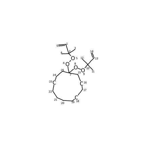 C=CC(C)(C)OOC1(OOC(C)(C)C=C)CCCCCCCCCCC1